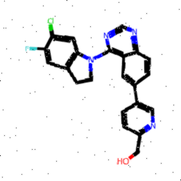 OCc1ccc(-c2ccc3ncnc(N4CCc5cc(F)c(Cl)cc54)c3c2)cn1